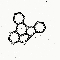 c1ccc2c(c1)c1ncnc3sc4c5ccccc5n2c4c31